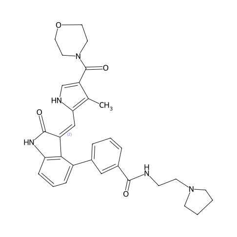 Cc1c(C(=O)N2CCOCC2)c[nH]c1/C=C1\C(=O)Nc2cccc(-c3cccc(C(=O)NCCN4CCCC4)c3)c21